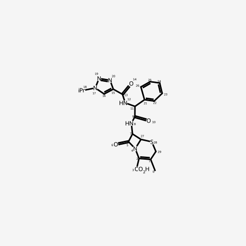 CC1=C(C(=O)O)N2C(=O)C(NC(=O)C(NC(=O)c3cn(C(C)C)nn3)c3ccccc3)C2SC1